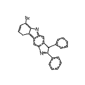 BrC1=C2N=c3cc4c(cc3=C2CC=C1)N=C(c1ccccc1)C4c1ccccc1